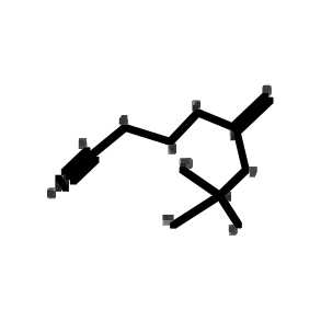 C=C(CCCC#N)CC(C)(C)C